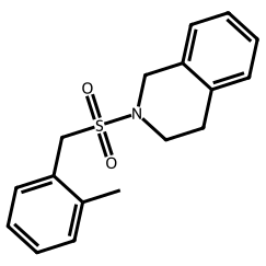 Cc1ccccc1CS(=O)(=O)N1CCc2ccccc2C1